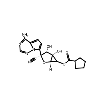 N#C[C@@]1(c2ccc3c(N)ncnn23)O[C@@H]2C(OC(=O)C3CCCC3)[C@]2(O)[C@H]1O